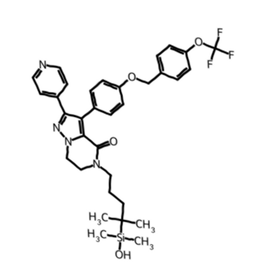 CC(C)(CCCN1CCn2nc(-c3ccncc3)c(-c3ccc(OCc4ccc(OC(F)(F)F)cc4)cc3)c2C1=O)[Si](C)(C)O